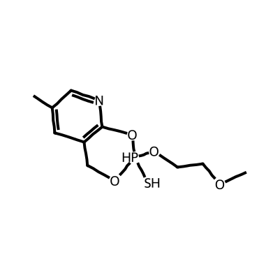 COCCO[PH]1(S)OCc2cc(C)cnc2O1